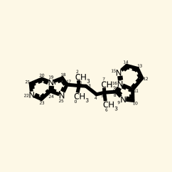 CC(C)(CCC(C)(C)c1ncc2cccnn12)c1cn2ccncc2n1